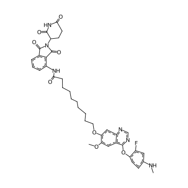 CNc1ccc(Oc2ncnc3cc(OCCCCCCCCCC(=O)Nc4cccc5c4C(=O)N(C4CCC(=O)NC4=O)C5=O)c(OC)cc23)c(F)c1